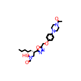 CCCCC[C@@H](CN(O)C=O)c1nnc(COc2ccc(N3CCN(C(C)=O)CC3)cc2)o1